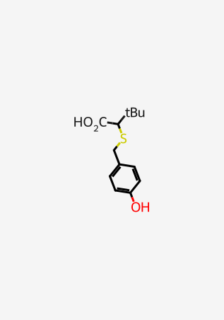 CC(C)(C)C(SCc1ccc(O)cc1)C(=O)O